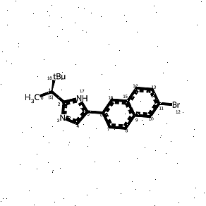 C[C@H](c1ncc(-c2ccc3cc(Br)ccc3c2)[nH]1)C(C)(C)C